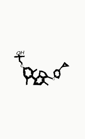 Cc1cc(OCCC(C)(C)O)cc(C)c1-c1ccc(C)c2c1CCC2Oc1ccc(C2CC2)cc1